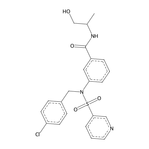 CC(CO)NC(=O)c1cccc(N(Cc2ccc(Cl)cc2)S(=O)(=O)c2cccnc2)c1